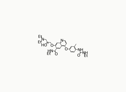 CCNC(=O)Nc1ccc(Oc2ccnc3cc(OC[C@H](O)CN(CC)CC)c(C(=O)NCC)cc23)cc1C